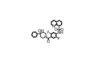 O=C(c1cc(F)c(NS(=O)(=O)c2cccc3cccnc23)cc1F)N1CCC(O)(c2ccccc2)CC1